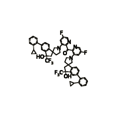 O=C(c1ncc(F)cc1N1CCC2(C1)CC(O)(C(F)(F)F)c1cc(-c3ccccc3C3CC3)ccc12)c1ncc(F)cc1N1CCC2(C1)CC(O)(C(F)(F)F)c1cc(-c3ccccc3C3CC3)ccc12